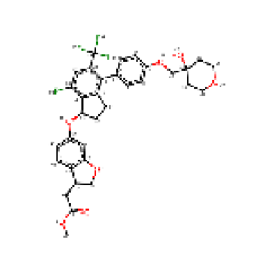 COC(=O)C[C@@H]1COc2cc(O[C@@H]3CCc4c(-c5ccc(OCC6(O)CCOCC6)cc5)c(C(F)(F)F)cc(F)c43)ccc21